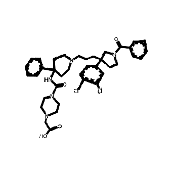 O=C(O)CN1CCN(C(=O)NC2(c3ccccc3)CCN(CCCC3(c4ccc(Cl)c(Cl)c4)CCN(C(=O)c4ccccc4)C3)CC2)CC1